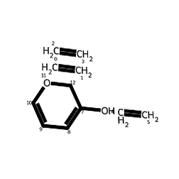 C=C.C=C.C=C.OC1=CC=COC1